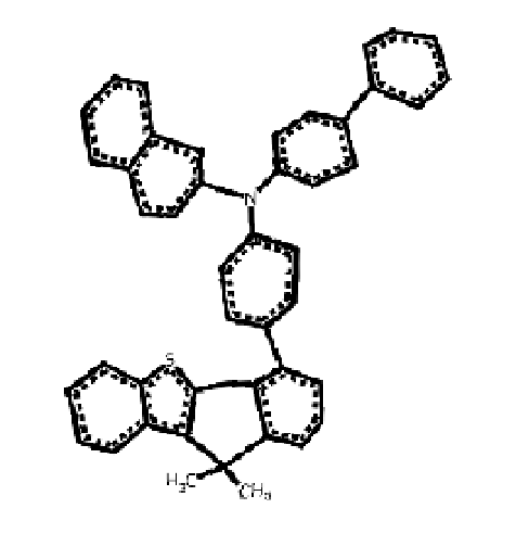 CC1(C)c2cccc(-c3ccc(N(c4ccc(-c5ccccc5)cc4)c4ccc5ccccc5c4)cc3)c2-c2sc3ccccc3c21